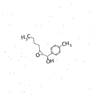 CCCCC1OC1[C@H](O)c1ccc(C)cc1